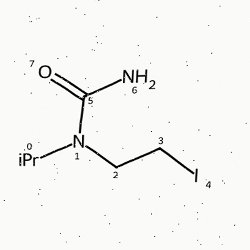 CC(C)N(CCI)C(N)=O